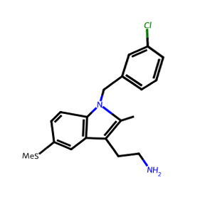 CSc1ccc2c(c1)c(CCN)c(C)n2Cc1cccc(Cl)c1